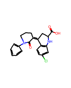 O=C(O)C1CC(=C2CCCN(c3ccccc3)C2=O)c2ccc(Cl)cc2N1